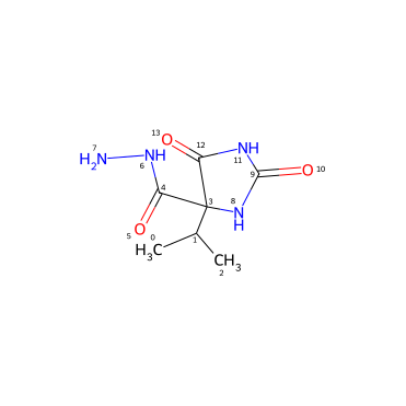 CC(C)C1(C(=O)NN)NC(=O)NC1=O